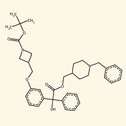 CC(C)(C)OC(=O)N1CC(COc2cccc(C(O)(C(=O)OCC3CCN(Cc4ccccc4)CC3)c3ccccc3)c2)C1